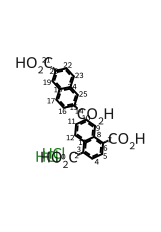 Cl.Cl.O=C(O)c1ccc(C(=O)O)c2ccccc12.O=C(O)c1ccc2cc(C(=O)O)ccc2c1